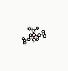 c1ccc(-c2nc(-c3ccccc3)nc(-c3ccc(-c4ccncc4-n4c5ccccc5c5cc(-n6c7ccccc7c7ccccc76)ccc54)c(-n4c5ccccc5c5cc(-n6c7ccccc7c7ccccc76)ccc54)c3)n2)cc1